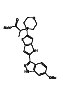 CNC(=O)C(C)[N+]1(c2cc3[nH]c(-c4n[nH]c5cc(OC)ccc45)cc3s2)CCOCC1